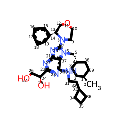 C[C@H]1CC[C@H](Cn2c(N3CCOC[C@H]3c3ccccc3)nc3nc([C@@H](O)CO)nc(NCCC4CCC4)c32)CC1